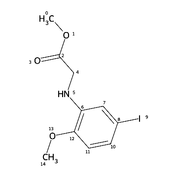 COC(=O)CNc1cc(I)ccc1OC